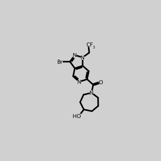 O=C(c1cc2c(cn1)c(Br)nn2CC(F)(F)F)N1CCCC(O)CC1